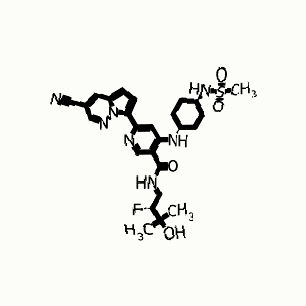 CC(C)(O)[C@H](F)CNC(=O)c1cnc(-c2ccc3cc(C#N)cnn23)cc1N[C@H]1CC[C@H](NS(C)(=O)=O)CC1